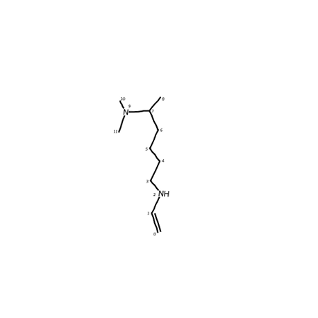 C=CNCCCCC(C)N(C)C